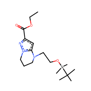 CCOC(=O)c1cc2n(n1)CCCN2CCO[Si](C)(C)C(C)(C)C